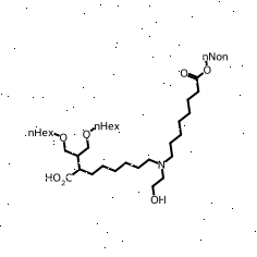 CCCCCCCCCOC(=O)CCCCCCCN(CCO)CCCCCCC(C(=O)O)C(COCCCCCC)COCCCCCC